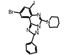 Brc1cc(I)c2nc(N3CCCCC3)n3nc(-c4ccccc4)nc3c2c1